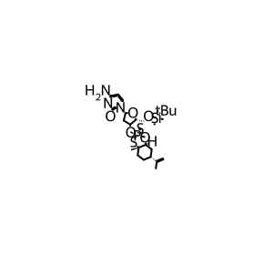 C=C(C)[C@@H]1CC[C@]2(C)S[P@@](=S)(O[C@H]3C[C@H](n4ccc(N)nc4=O)O[C@@H]3CO[Si](C)(C)C(C)(C)C)O[C@H]2C1